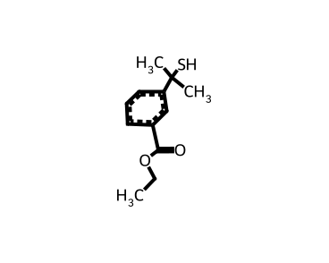 CCOC(=O)c1cccc(C(C)(C)S)c1